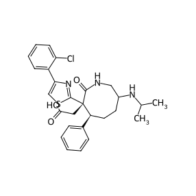 CC(C)NC1CC[C@@H](c2ccccc2)[C@](CC(=O)O)(c2nc(-c3ccccc3Cl)cs2)C(=O)NC1